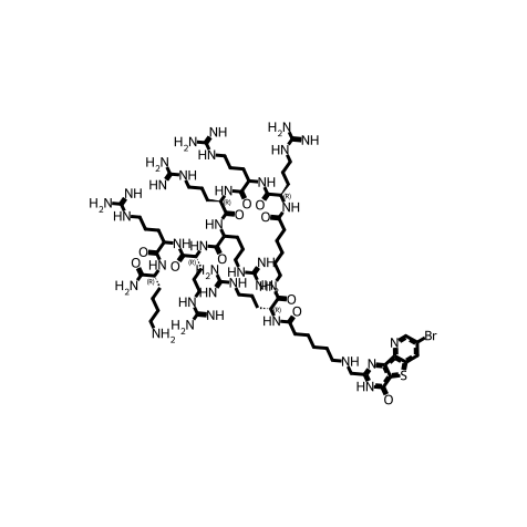 N=C(N)NCCCC(NC(=O)[C@@H](CCCNC(=N)N)NC(=O)CCCCCNC(=O)[C@@H](CCCNC(=N)N)NC(=O)CCCCCNCc1nc2c(sc3cc(Br)cnc32)c(=O)[nH]1)C(=O)N[C@H](CCCNC(=N)N)C(=O)NC(CCCNC(=N)N)C(=O)N[C@H](CCCNC(=N)N)C(=O)NC(CCCNC(=N)N)C(=O)N[C@H](CCCCN)C(N)=O